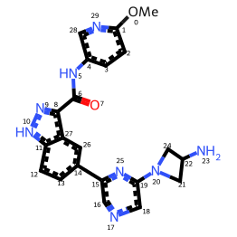 COc1ccc(NC(=O)c2n[nH]c3ccc(-c4cncc(N5CC(N)C5)n4)cc23)cn1